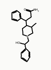 CC1CN(CC(O)c2ccccc2)CCC1C(CC(N)=O)c1ccccc1